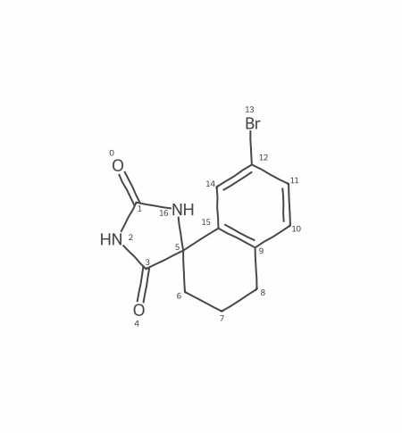 O=C1NC(=O)C2(CCCc3ccc(Br)cc32)N1